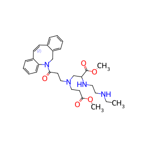 CCNCCNC(CN(CCC(=O)OC)CCC(=O)N1Cc2ccccc2/C=C\c2ccccc21)C(=O)OC